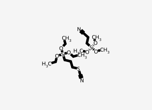 CCO[Si](CCCSC#N)(OCC)OCC.CO[Si](CCC#N)(OC)OC